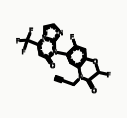 C#CCN1C(=O)C(F)Oc2cc(F)c(-n3c(=O)cc(C(F)(F)F)n4ccnc34)cc21